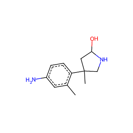 Cc1cc(N)ccc1C1(C)CNC(O)C1